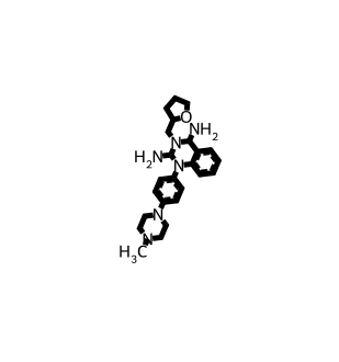 CN1CCN(c2ccc(N3c4ccccc4C(N)N(CC4CCCO4)C3N)cc2)CC1